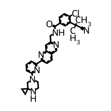 CC(C)(C#N)c1cc(C(=O)NCc2cc3nc(-c4cccc(N5CCNC6(CC6)C5)n4)ccc3cn2)ccc1Cl